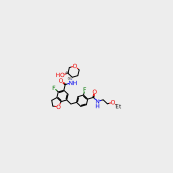 CCOCCNC(=O)c1ccc(Cc2cc(C(=O)N[C@H]3CCOC[C@@H]3O)c(F)c3c2OCC3)cc1F